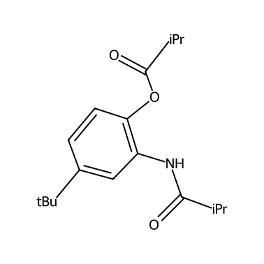 CC(C)C(=O)Nc1cc(C(C)(C)C)ccc1OC(=O)C(C)C